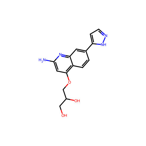 Nc1cc(OCC(O)CO)c2ccc(-c3ccn[nH]3)cc2n1